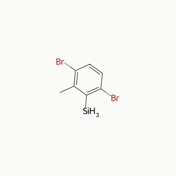 Cc1c(Br)ccc(Br)c1[SiH3]